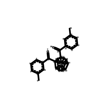 Cc1cccc(C(=O)[C]23[CH]4[CH]5[CH]6[C]2(C(=O)c2cccc(C)c2)[Fe]54632789[CH]3[CH]2[CH]7[CH]8[CH]39)c1